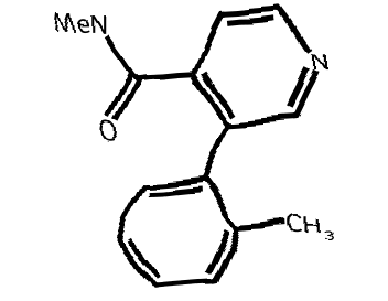 CNC(=O)c1ccncc1-c1ccccc1C